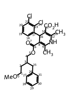 COCCC(COC(=O)C1=C(C)NC(C)=C(C(=O)O)C1c1cccc(Cl)c1Cl)Cc1ccccc1